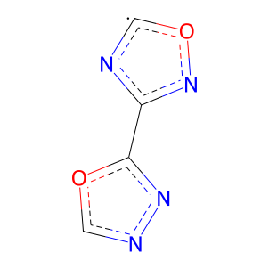 [c]1nc(-c2nnco2)no1